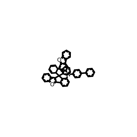 C1=CC2c3ccccc3C3(c4c(cccc4N(c4ccc(-c5ccccc5)cc4)c4ccc5oc6ccccc6c5c4)-c4oc5ccccc5c43)C2C=C1